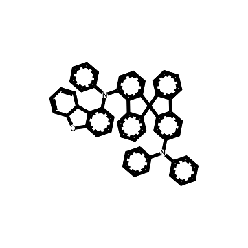 C1=CC2Oc3cccc(N(c4ccccc4)c4cccc5c4-c4ccccc4C54c5ccccc5-c5ccc(N(c6ccccc6)c6ccccc6)cc54)c3C2C=C1